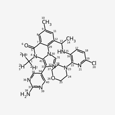 [2H]C([2H])([2H])n1c(=O)c2cc(C)cc(C(C)Nc3ccc(Cl)nc3N3CCOCC3)c2n2cnc(-c3cnc(N)nc3)c12